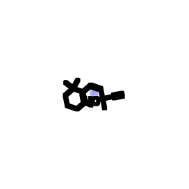 C#CC(C)(O)/C=C\C1=C(C)CCCC1(C)C